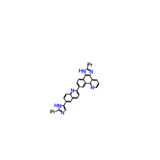 CC(C)c1ncc(-c2ccc3nc(-c4ccc5c(c4)c4ncccc4c4nc(C(C)C)[nH]c54)ccc3c2)[nH]1